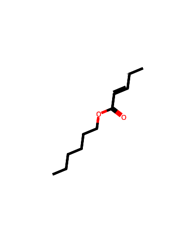 C[CH]/C=C/C(=O)OCCCCCC